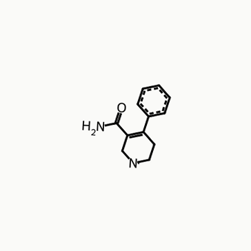 NC(=O)C1=C(c2ccccc2)CC[N]C1